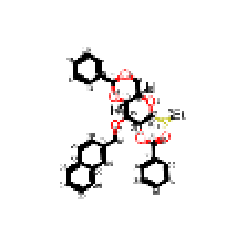 CCS[C@@H]1O[C@@H]2COC(c3ccccc3)O[C@H]2[C@H](OCc2ccc3ccccc3c2)[C@H]1OC(=O)c1ccccc1